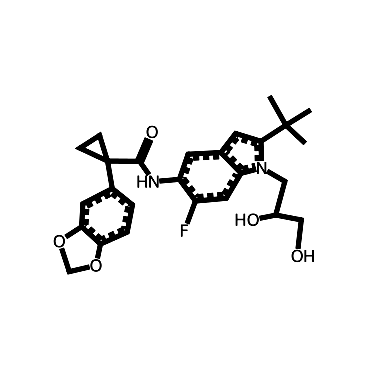 CC(C)(C)c1cc2cc(NC(=O)C3(c4ccc5c(c4)OCO5)CC3)c(F)cc2n1CC(O)CO